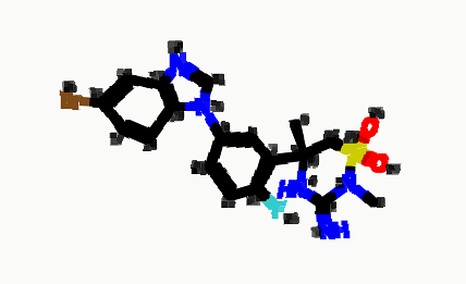 CN1C(=N)N[C@](C)(c2cc(-n3cnc4cc(Br)ccc43)ccc2F)CS1(=O)=O